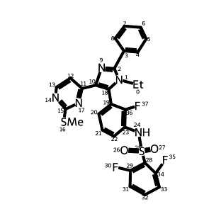 CCn1c(-c2ccccc2)nc(-c2ccnc(SC)n2)c1-c1cccc(NS(=O)(=O)c2c(F)cccc2F)c1F